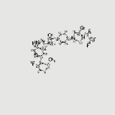 COc1cccc(F)c1-c1cc2c(NC(=O)c3ccc(N4CCN(C(F)C(F)F)C(=O)C4)cc3)n[nH]c2cn1